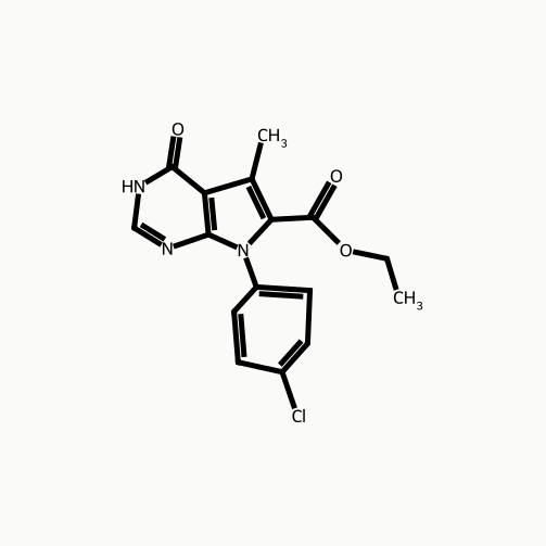 CCOC(=O)c1c(C)c2c(=O)[nH]cnc2n1-c1ccc(Cl)cc1